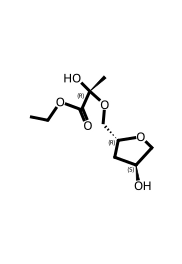 CCOC(=O)[C@](C)(O)OC[C@H]1C[C@H](O)CO1